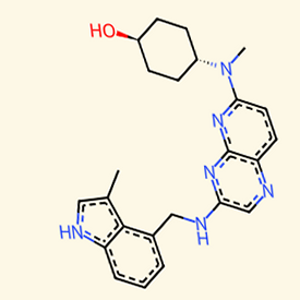 Cc1c[nH]c2cccc(CNc3cnc4ccc(N(C)[C@H]5CC[C@H](O)CC5)nc4n3)c12